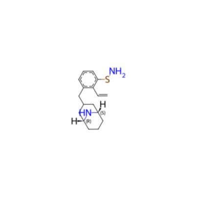 C=Cc1c(CC2C[C@H]3CCC[C@@H](C2)N3)cccc1SN